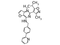 Cc1noc(C(C)C)c1-c1nc(NCc2ccc(-c3ccccn3)cc2)c2occc2n1